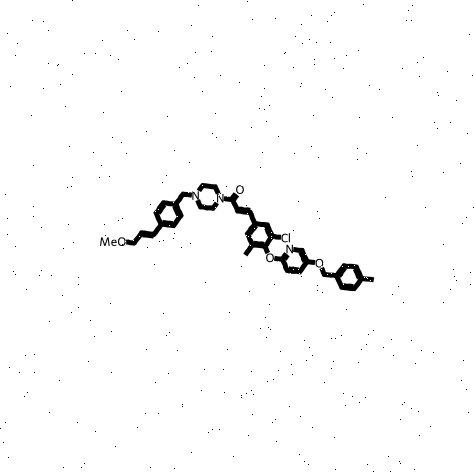 COCC=Cc1ccc(CN2CCN(C(=O)C=Cc3cc(C)c(Oc4ccc(OCc5ccc(C)cc5)cn4)c(Cl)c3)CC2)cc1